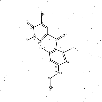 CC(C)c1cc(C(=O)c2c(Cl)cc(NCC#N)cc2Cl)nn(C)c1=O